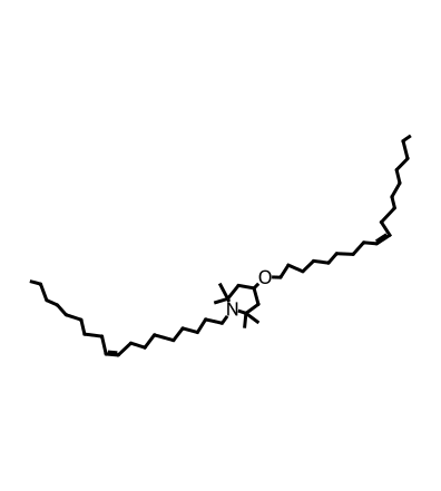 CCCCCCCC/C=C\CCCCCCCCOC1CC(C)(C)N(CCCCCCCC/C=C\CCCCCCCC)C(C)(C)C1